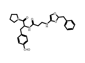 O=Cc1ccc(CC(NC(=O)CCNC2=COC(Cc3ccccc3)O2)C(=O)N2CCCC2)cc1